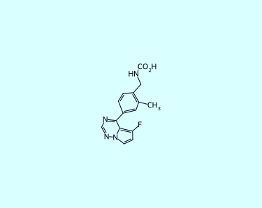 Cc1cc(-c2ncnn3ccc(F)c23)ccc1CNC(=O)O